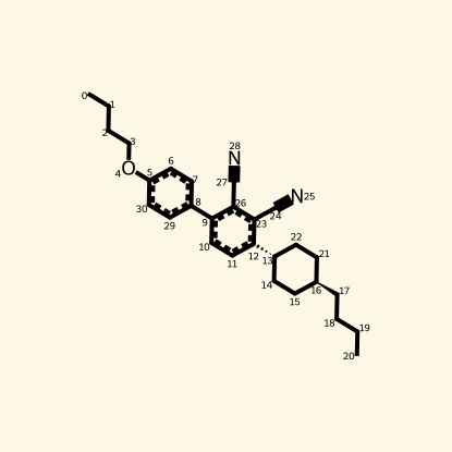 CCCCOc1ccc(-c2ccc([C@H]3CC[C@H](CCCC)CC3)c(C#N)c2C#N)cc1